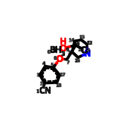 B.N#Cc1ccc(OCC2(O)CN3CCC2CC3)cc1